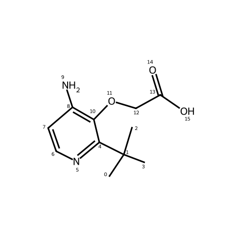 CC(C)(C)c1nccc(N)c1OCC(=O)O